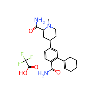 CN1CCC(c2ccc(C(N)=O)c(C3=CCCCC3)c2)CC1C(N)=O.O=C(O)C(F)(F)F